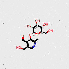 Cc1ncc(CO)c(C=O)c1O[C@H]1O[C@H](CO)[C@@H](O)[C@H](O)[C@H]1O